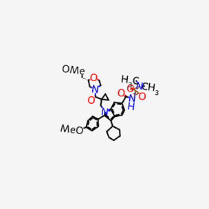 COC[C@H]1CN(C(=O)C2(Cn3c(-c4ccc(OC)cc4)c(C4CCCCC4)c4ccc(C(=O)NS(=O)(=O)N(C)C)cc43)CC2)CCO1